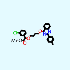 COC(=O)C(OCCCCOc1nc(-c2ccc(C)cc2)nc2ccccc12)c1cccc(Cl)c1